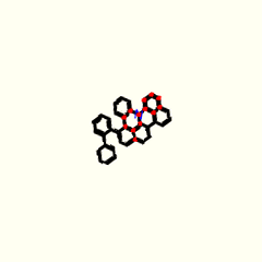 c1ccc(-c2ccccc2-c2ccccc2-c2ccccc2N(c2ccccc2)c2ccccc2-c2cccc3cccc(C4CCCCC4)c23)cc1